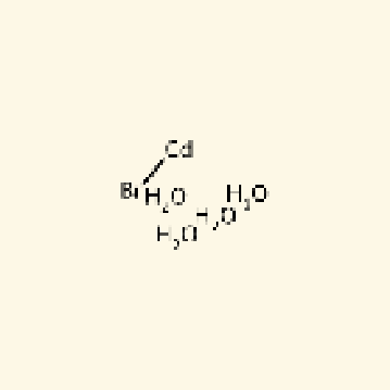 O.O.O.O.[Br][Cd]